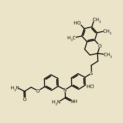 Cc1c(C)c2c(c(C)c1O)CCC(C)(CCSc1ccc(N(C(=N)N)c3cccc(OCC(N)=O)c3)cc1)O2.Cl